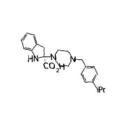 CC(C)c1ccc(CN2CCN([C@]3(C(=O)O)Cc4ccccc4N3)CC2)cc1